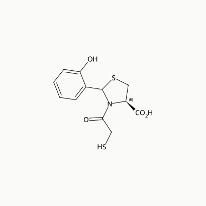 O=C(O)[C@@H]1CSC(c2ccccc2O)N1C(=O)CS